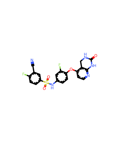 N#Cc1cc(S(=O)(=O)Nc2ccc(Oc3ccnc4c3CNC(=O)N4)c(F)c2)ccc1F